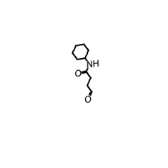 O=CCCC(=O)NC1CCCCC1